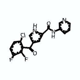 O=C(Nc1cccnc1)c1cc(C(=O)c2c(Cl)ccc(F)c2F)c[nH]1